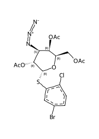 CC(=O)OC[C@H]1O[C@H](Sc2cc(Br)ccc2Cl)[C@H](OC(C)=O)[C@@H](N=[N+]=[N-])[C@H]1OC(C)=O